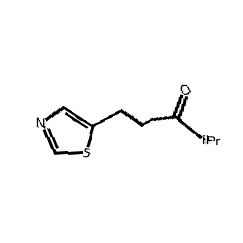 CC(C)C(=O)CCc1cncs1